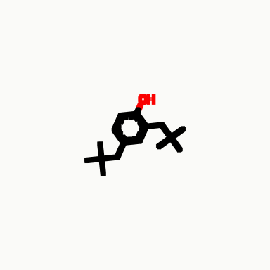 CC(C)(C)Cc1ccc(O)c(CC(C)(C)C)c1